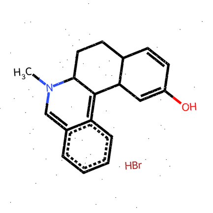 Br.CN1C=c2ccccc2=C2C3C=C(O)C=CC3CCC21